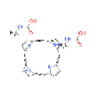 C1=Cc2cc3ccc(cc4nc(cc5ccc(cc1n2)[nH]5)C=C4)[nH]3.CNC(=O)O.CNC(=O)O